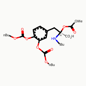 CCCCOC(=O)Oc1ccc(C[C@](NC(C)CC)(OC(=O)OC)C(=O)O)cc1OC(=O)OCCCC